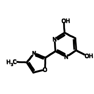 Cc1coc(-c2nc(O)cc(O)n2)n1